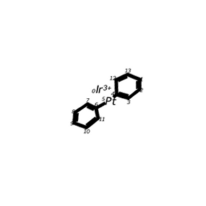 [Ir+3].c1cc[c]([Pt][c]2ccccc2)cc1